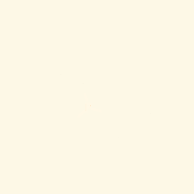 CC1=Cc2ccccc2C1P(C(C)C)C1C(C)=Cc2ccccc21